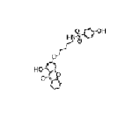 O=c1c2ccccc2oc2cc(OCCCCCNS(=O)(=O)c3ccc(O)cc3)cc(O)c12